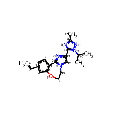 C=Cc1ccc2c(c1)OCCn1cc(-c3nc(C)nn3C(C)C)nc1-2